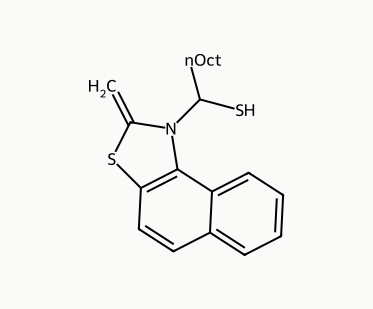 C=C1Sc2ccc3ccccc3c2N1C(S)CCCCCCCC